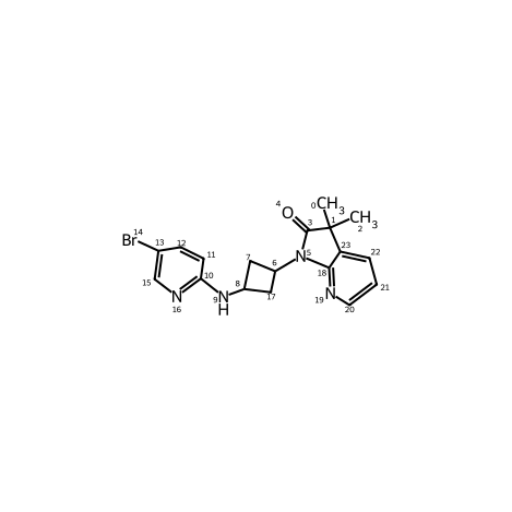 CC1(C)C(=O)N(C2CC(Nc3ccc(Br)cn3)C2)c2ncccc21